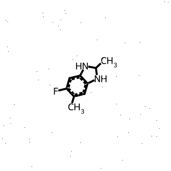 Cc1cc2c(cc1F)NC(C)N2